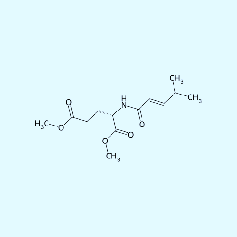 COC(=O)CC[C@H](NC(=O)/C=C/C(C)C)C(=O)OC